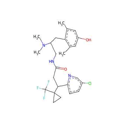 Cc1cc(O)cc(C)c1CC(CNC(=O)CC(c1ccc(Cl)cn1)C1(C(F)(F)F)CC1)N(C)C